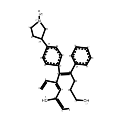 C=CC(=C\C(O)=C/C)/C(=C(\CCCO)c1ccccc1)c1ccc(C2CCN(C(C)C)C2)cc1